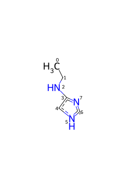 CCNc1c[nH][c]n1